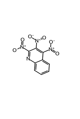 O=[N+]([O-])c1nc2ccccc2c([N+](=O)[O-])c1[N+](=O)[O-]